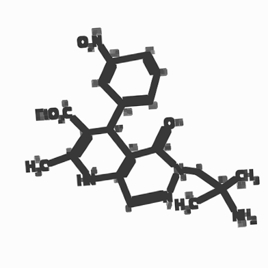 CCOC(=O)C1=C(C)Nc2cnn(CC(C)(C)N)c(=O)c2C1c1cccc([N+](=O)[O-])c1